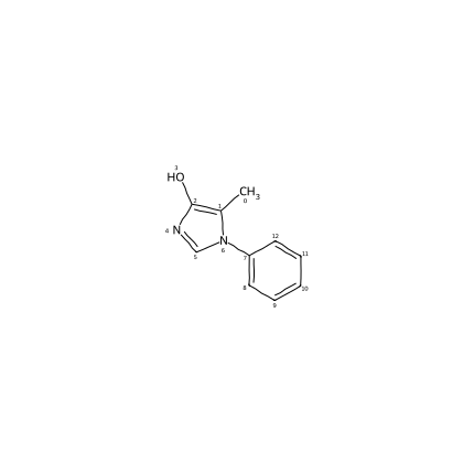 Cc1c(O)ncn1-c1ccccc1